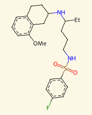 CCC(CCCNS(=O)(=O)c1ccc(F)cc1)NC1CCc2cccc(OC)c2C1